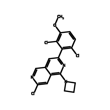 COc1ccc(Cl)c(-c2cc3cnc(Cl)cc3c(N3CCC3)n2)c1Cl